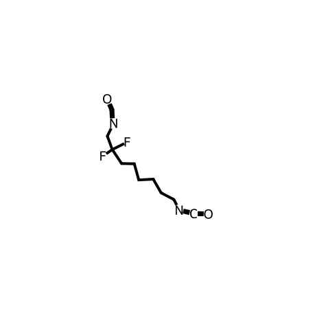 O=C=NCCCCCCC(F)(F)CN=C=O